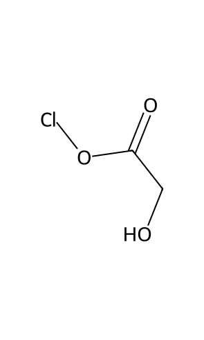 O=C(CO)OCl